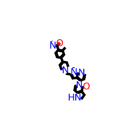 Cc1cc(C2=CCN(Cc3cc4c(-n5ccc6c(c5=O)CCN6)ccnc4n3C)CC2)ccc1C(=O)N(C)C